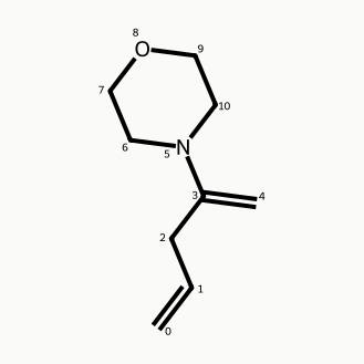 C=CCC(=C)N1CCOCC1